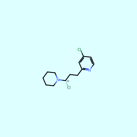 Clc1ccnc(CC[C@H](Cl)N2CCCCC2)c1